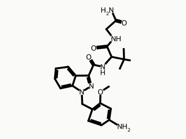 COc1cc(N)ccc1Cn1nc(C(=O)NC(C(=O)NCC(N)=O)C(C)(C)C)c2ccccc21